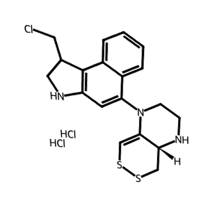 Cl.Cl.ClCC1CNc2cc(N3CCN[C@@H]4CSSC=C43)c3ccccc3c21